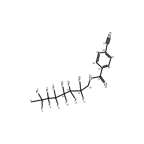 CC(F)(F)C(F)(F)C(F)(F)C(F)(F)C(F)(F)C(F)(F)COC(=O)c1ccc(C#N)cc1